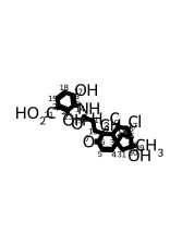 CC1C2C3(C=CC(=O)[C@@]2(C)CCC(=O)Nc2c(O)ccc(C(=O)O)c2O)CC([C@@H]1Cl)C(C)(O)C3